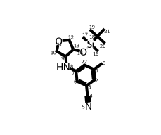 Cc1cc(C#N)cc(NC2COCC2O[Si](C)(C)C(C)(C)C)c1